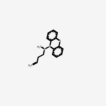 C=CCCN(C)N1c2ccccc2Sc2ccccc21